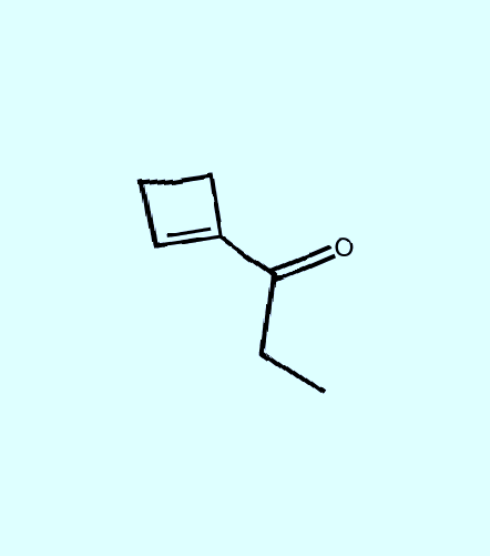 CCC(=O)C1=CCC1